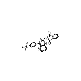 O=C1c2ccccc2C(=O)N1Cc1nc(-c2ccc(C(F)(F)F)cc2)c2ncccc2n1